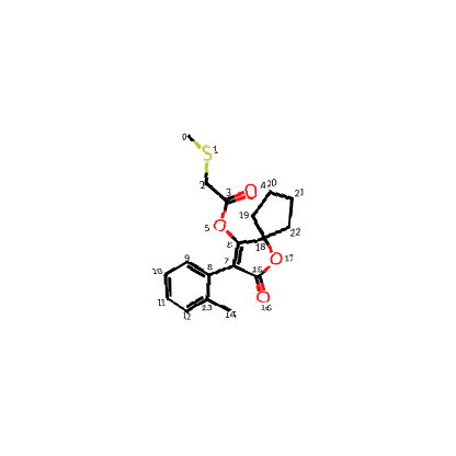 CSCC(=O)OC1=C(c2ccccc2C)C(=O)OC12CCCC2